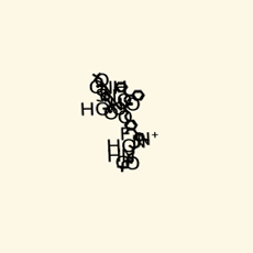 C[n+]1cc(-c2ccc(OCC(ON=C(C(=O)O)c3csc(NC(=O)OC(C)(C)C)n3)C(=O)OC(c3ccccc3)c3ccccc3)cc2F)cn1CC(O)CNC(=O)OC(C)(C)C